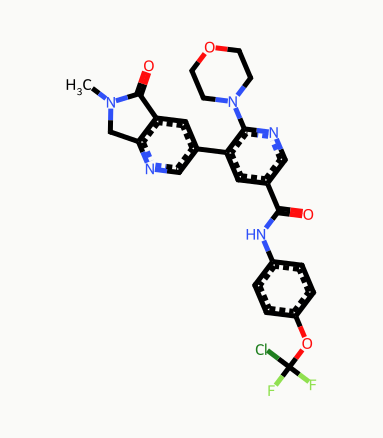 CN1Cc2ncc(-c3cc(C(=O)Nc4ccc(OC(F)(F)Cl)cc4)cnc3N3CCOCC3)cc2C1=O